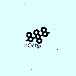 CCCCCCCC[Si](C)(C)c1ccc2c(-c3ccc(C)c4ccccc34)c3ccccc3c(-c3ccc(C)c4ccccc34)c2c1